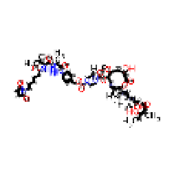 CC[C@H](O)[C@@H](C)[C@@H]1O[C@H]1CC(C)(O)/C=C/C=C(\C)[C@H]1OC(=O)C[C@H](O)CC[C@@](C)(OC)[C@@H](OC(=O)N2CCN(C(=O)OCc3ccc(NC(=O)C(C)NC(=O)C(NC(=O)CCCCCN4C(=O)C=CC4=O)C(C)C)cc3)CC2)/C=C/[C@@H]1C